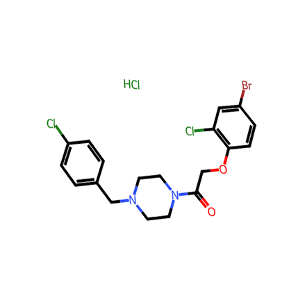 Cl.O=C(COc1ccc(Br)cc1Cl)N1CCN(Cc2ccc(Cl)cc2)CC1